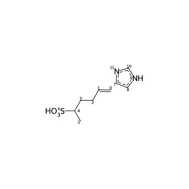 C=CCCC(C)S(=O)(=O)O.c1c[nH]cn1